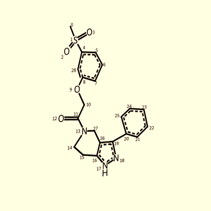 CS(=O)(=O)c1cccc(OCC(=O)N2CCc3[nH]nc(-c4ccccc4)c3C2)c1